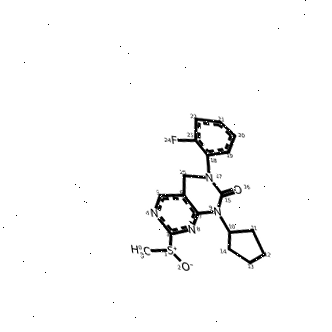 C[S+]([O-])c1ncc2c(n1)N(C1CCCC1)C(=O)N(c1ccccc1F)C2